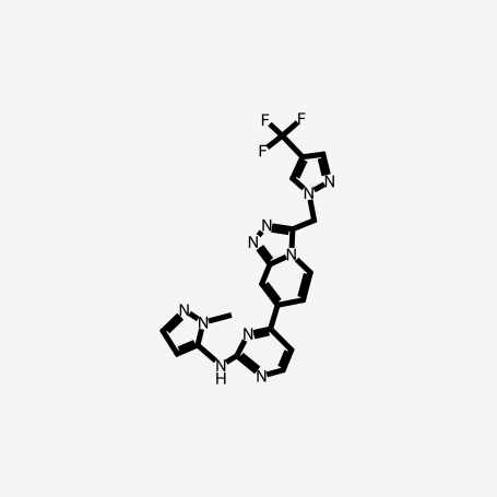 Cn1nccc1Nc1nccc(-c2ccn3c(Cn4cc(C(F)(F)F)cn4)nnc3c2)n1